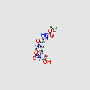 CC(C)(C)OC(=O)NN=CCC(=O)N1CCC2(CC1)CN(CC(=O)O)C(=O)O2